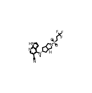 CN(c1c(C#N)cnc2[nH]ccc12)[C@@H]1CC2CN(S(=O)(=O)CCC(F)(F)F)C[C@H]2C1